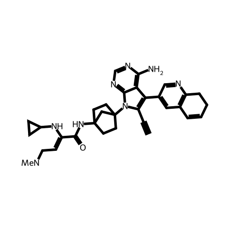 C#Cc1c(-c2cnc3c(c2)C=CCC3)c2c(N)ncnc2n1C12CCC(NC(=O)/C(=C/CNC)NC3CC3)(CC1)C2